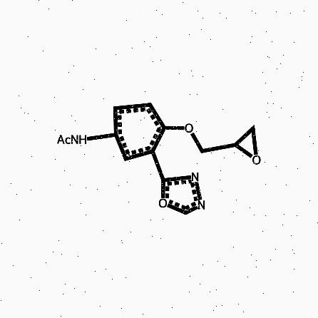 CC(=O)Nc1ccc(OCC2CO2)c(-c2nnco2)c1